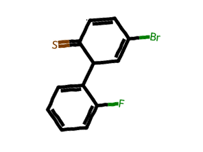 Fc1ccccc1C1C=C(Br)C=[C]C1=S